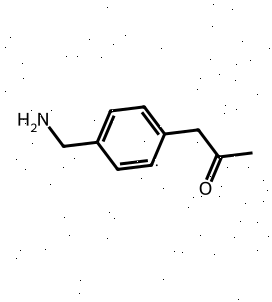 CC(=O)Cc1[c]cc(CN)cc1